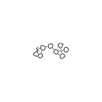 c1ccc(C2(c3ccccc3)c3ccccc3-c3ccc(-c4cccc(-c5ccc6c(c5)-c5cccc7cccc(c57)S6)c4)cc32)cc1